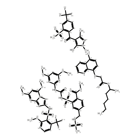 CCCCCC(C)OC(=O)COc1ccc(Cl)c2cccnc12.COC(=O)c1ccc(CNS(C)(=O)=O)cc1S(=O)(=O)NC(=O)Nc1nc(OC)cc(OC)n1.COc1cc(OC)n2nc(NS(=O)(=O)c3c(C(F)(F)F)ccnc3OC)nc2n1.Cc1nn(C)c(O)c1C(=O)c1ccc(C(F)(F)F)cc1S(C)(=O)=O